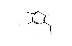 Cc1cc(O)c(CC(C)C)cc1S(=O)(=O)O.[KH]